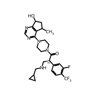 CC1CC(O)c2ncnc(N3CCN(C(=O)[C@H](CNCC4CC4)c4ccc(C(F)(F)F)c(F)c4)CC3)c21